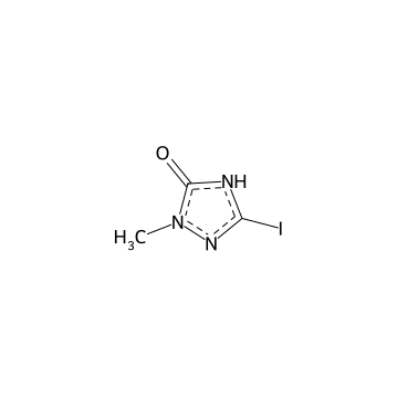 Cn1nc(I)[nH]c1=O